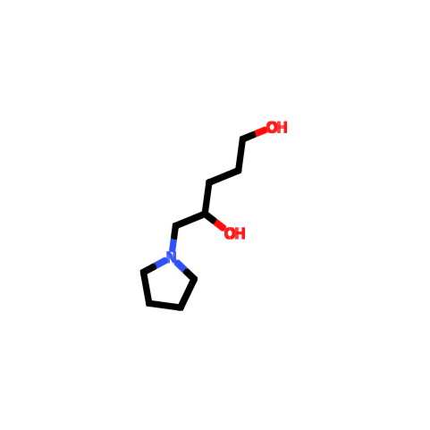 OCCCC(O)CN1CCCC1